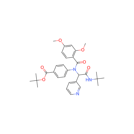 COc1ccc(C(=O)N(c2ccc(C(=O)OC(C)(C)C)cc2)C(C(=O)NC(C)(C)C)c2cccnc2)c(OC)c1